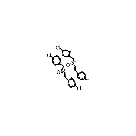 [O-][S+](/C=C/c1ccc(Cl)cc1)Cc1ccc(Cl)cc1.[O-][S+](/C=C/c1ccc(F)cc1)Cc1ccc(Cl)cc1